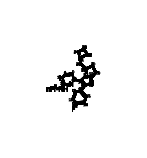 CCCNc1nccc(-c2c(-c3ccc(F)cc3)nc3n2C(CN2CCC2)CC3)n1